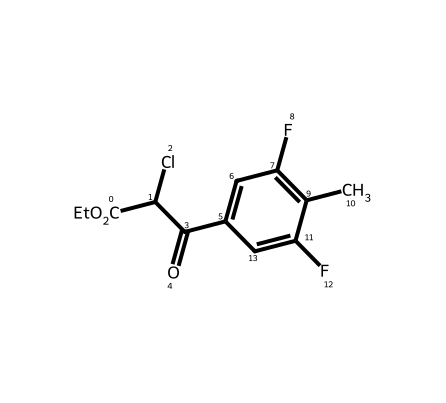 CCOC(=O)C(Cl)C(=O)c1cc(F)c(C)c(F)c1